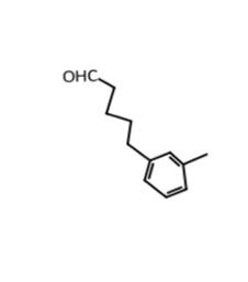 Cc1cccc(CCCCC=O)c1